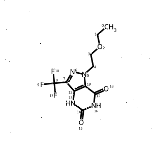 CCOCCn1nc(C(F)(F)F)c2[nH]c(=O)[nH]c(=O)c21